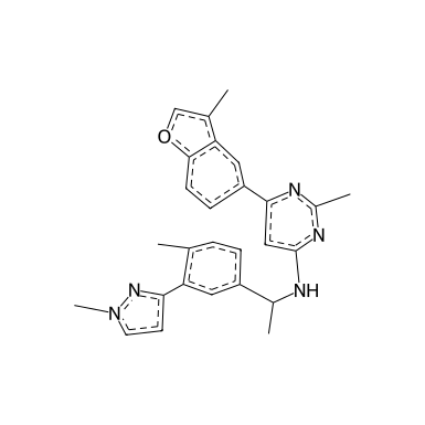 Cc1nc(NC(C)c2ccc(C)c(-c3ccn(C)n3)c2)cc(-c2ccc3occ(C)c3c2)n1